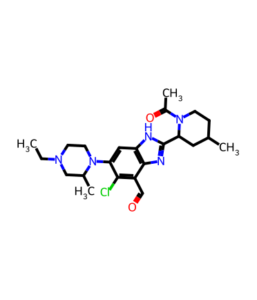 CCN1CCN(c2cc3[nH]c(C4CC(C)CCN4C(C)=O)nc3c(C=O)c2Cl)C(C)C1